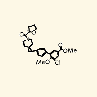 COC(=O)c1cc(Cl)c(OC)c(-c2ccc(C3CC34CCN(C(=O)[C@H]3CCCO3)CC4)cc2)c1